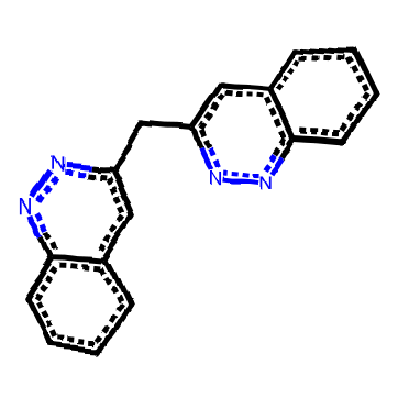 c1ccc2nnc(Cc3cc4ccccc4nn3)cc2c1